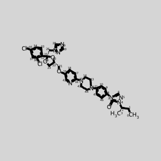 CC[C@H](C)n1ncn(-c2ccc(N3CCN(c4ccc(OC[C@@H]5CO[C@@](Cn6cncn6)(c6ccc(Cl)cc6Cl)O5)cn4)CC3)cc2)c1=O